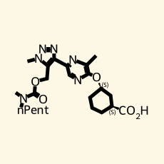 CCCCCN(C)C(=O)OCc1c(-c2cnc(O[C@H]3CCC[C@H](C(=O)O)C3)c(C)n2)nnn1C